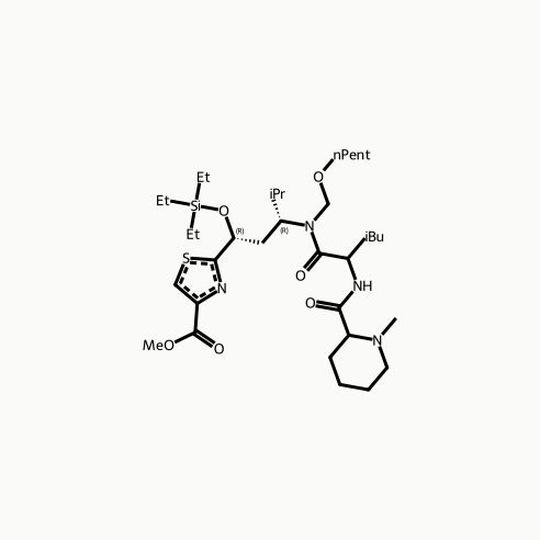 CCCCCOCN(C(=O)C(NC(=O)C1CCCCN1C)C(C)CC)[C@H](C[C@@H](O[Si](CC)(CC)CC)c1nc(C(=O)OC)cs1)C(C)C